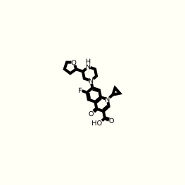 O=C(O)c1cn(C2CC2)c2cc(N3CCNC(C4CCCO4)C3)c(F)cc2c1=O